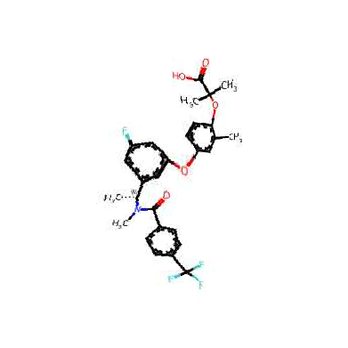 Cc1cc(Oc2cc(F)cc([C@@H](C)N(C)C(=O)c3ccc(C(F)(F)F)cc3)c2)ccc1OC(C)(C)C(=O)O